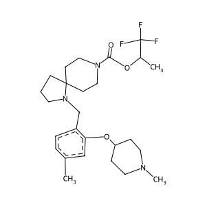 Cc1ccc(CN2CCCC23CCN(C(=O)OC(C)C(F)(F)F)CC3)c(OC2CCN(C)CC2)c1